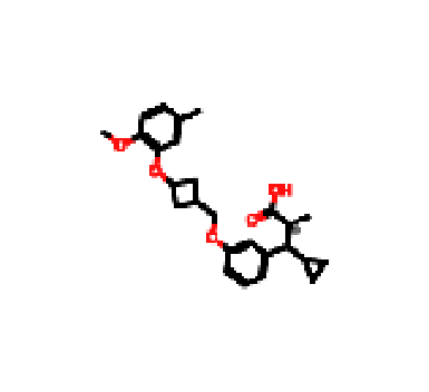 COc1ccc(C)cc1OC1CC(COc2cccc(C(C3CC3)[C@H](C)C(=O)O)c2)C1